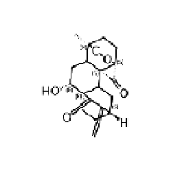 C=C1C(=O)[C@]23CC[C@H]1CC2[C@]12C(=O)[C@]14CC[C@@](C)(CO4)C2C[C@H]3O